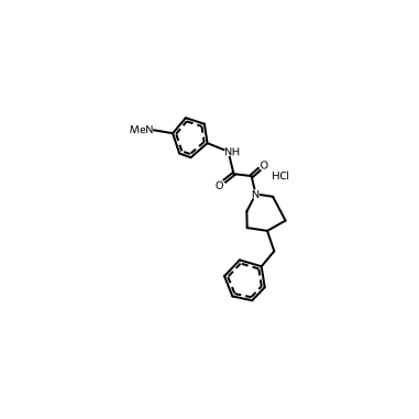 CNc1ccc(NC(=O)C(=O)N2CCC(Cc3ccccc3)CC2)cc1.Cl